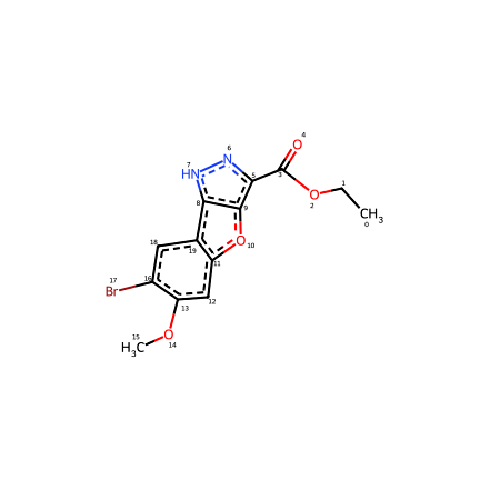 CCOC(=O)c1n[nH]c2c1oc1cc(OC)c(Br)cc12